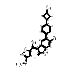 COc1cc(C(O)=C2C(=O)Nc3cc(Cl)c(-c4ccc(C5CC(O)C5)cc4)cc32)on1